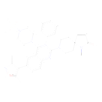 Cc1noc(C)c1-c1ccc2nc(N3CCC4(CCC(=O)N4C)CC3)nc(N3CCN(S(C)(=O)=O)C[C@@H]3c3ccccc3)c2c1